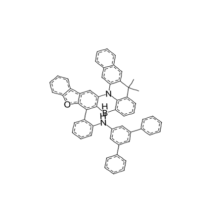 CC1(C)c2cc3ccccc3cc2N2c3cc4c(oc5ccccc54)c(-c4ccccc4Nc4cc(-c5ccccc5)cc(-c5ccccc5)c4)c3Bc3cccc1c32